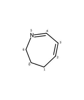 [CH]1CC=CC=NC1